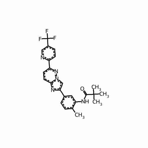 Cc1ccc(-c2cn3nc(-c4ccc(C(F)(F)F)cn4)ccc3n2)cc1NC(=O)C(C)(C)C